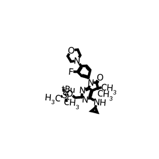 CC1(C)C(=O)N(c2ccc(N3CCOCC3)c(F)c2)c2nc(CO[Si](C)(C)C(C)(C)C)nc(NC3CC3)c21